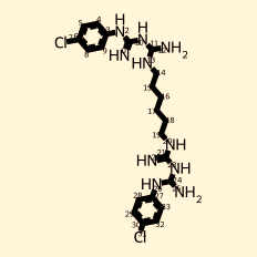 N=C(Nc1ccc(Cl)cc1)NC(N)NCCCCCCNC(=N)NC(N)Nc1ccc(Cl)cc1